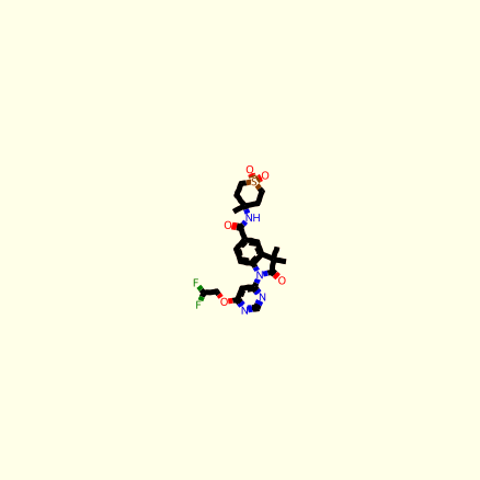 CC1(NC(=O)c2ccc3c(c2)C(C)(C)C(=O)N3c2cc(OCC(F)F)ncn2)CCS(=O)(=O)CC1